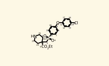 CCOC(=O)C1(CS(=O)(=O)c2ccc(Oc3ccc(Cl)cc3)cc2)CCNCC1